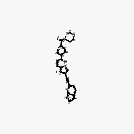 N=C(/C=C\c1ncc(C#Cc2cnc3cc[nH]c3c2)[nH]1)c1ccc(C(=O)N2CCOCC2)cc1